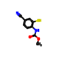 COC(=O)Nc1ccc(C#N)cc1S